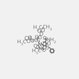 CC(C)OC(=O)OCOP(=O)(CCN1n2cc(C(N)=O)c(=O)c(OCc3ccccc3)c2C(=O)N(C)[C@@]12CCOC2)OCOC(=O)OC(C)C